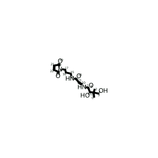 CC(C)(CO)[C@@H](O)C(=O)N/C=C/C(=O)NCCCN1C(=O)C=CC1=O